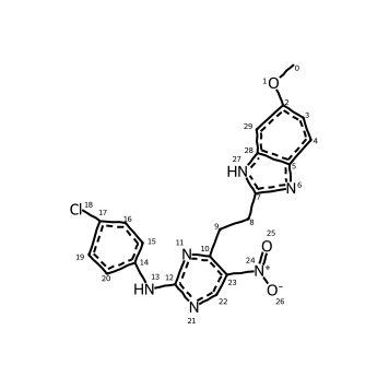 COc1ccc2nc(CCc3nc(Nc4ccc(Cl)cc4)ncc3[N+](=O)[O-])[nH]c2c1